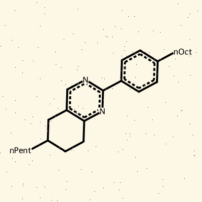 CCCCCCCCc1ccc(-c2ncc3c(n2)CCC(CCCCC)C3)cc1